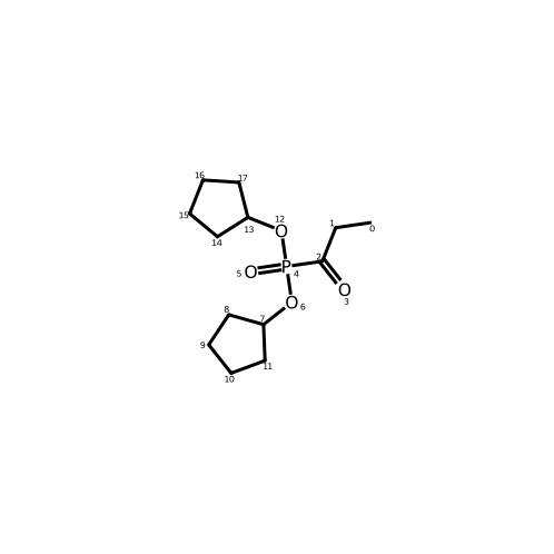 CCC(=O)P(=O)(OC1CCCC1)OC1CCCC1